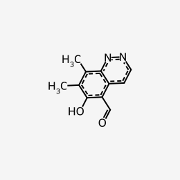 Cc1c(O)c(C=O)c2ccnnc2c1C